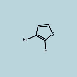 Fc1s[c]cc1Br